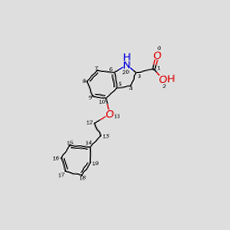 O=C(O)C1Cc2c(cccc2OCCc2ccccc2)N1